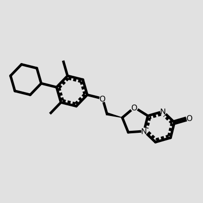 Cc1cc(OC[C@@H]2Cn3ccc(=O)nc3O2)cc(C)c1C1CCCCC1